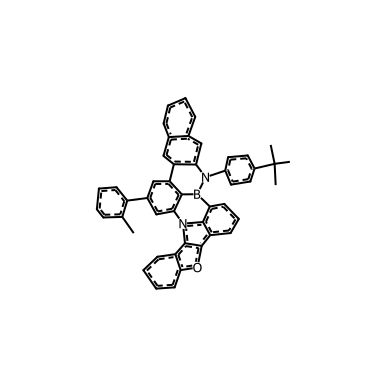 Cc1ccccc1-c1cc2c3c(c1)-n1c4c(cccc4c4oc5ccccc5c41)B3N(c1ccc(C(C)(C)C)cc1)c1cc3ccccc3cc1-2